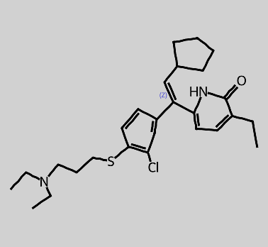 CCc1ccc(/C(=C\C2CCCC2)c2ccc(SCCCN(CC)CC)c(Cl)c2)[nH]c1=O